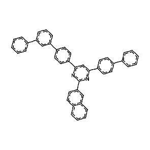 c1ccc(-c2ccc(-c3cc(-c4ccc(-c5cccc(-c6ccccc6)c5)cc4)nc(-c4ccc5ccccc5c4)n3)cc2)cc1